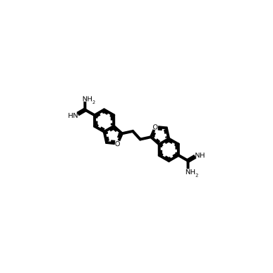 N=C(N)c1ccc2c(CCc3occ4cc(C(=N)N)ccc34)occ2c1